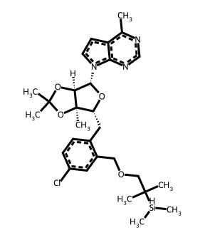 Cc1ncnc2c1ccn2[C@@H]1O[C@H](Cc2ccc(Cl)cc2COCC(C)(C)[SiH](C)C)[C@@]2(C)OC(C)(C)O[C@@H]12